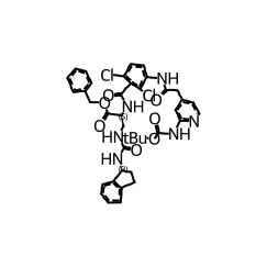 CC(C)(C)OC(=O)Nc1cc(CC(=O)Nc2ccc(Cl)c(C(=O)N[C@@H](CNC(=O)N[C@@H]3CCc4ccccc43)C(=O)OCc3ccccc3)c2Cl)ccn1